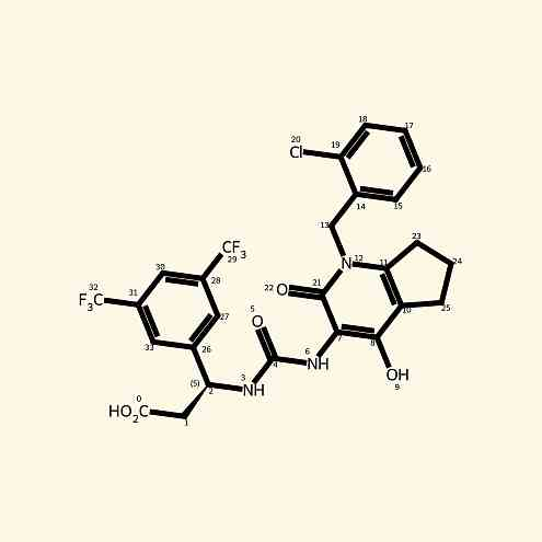 O=C(O)C[C@H](NC(=O)Nc1c(O)c2c(n(Cc3ccccc3Cl)c1=O)CCC2)c1cc(C(F)(F)F)cc(C(F)(F)F)c1